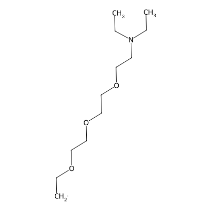 [CH2]COCCOCCOCCN(CC)CC